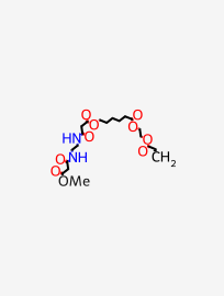 C=CC(=O)OCCOC(=O)CCCCCOC(=O)CC(=O)NCCNC(=O)CC(=O)OC